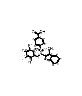 Cc1c(N(Cc2c(F)c(F)c(F)c(F)c2F)S(=O)(=O)c2ccc(C(=O)O)cc2)sc2ccccc12